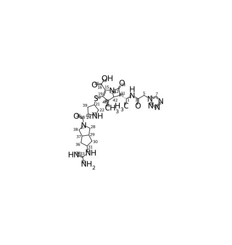 CC(NC(=O)Cn1cnnn1)[C@H]1C(=O)N2C(C(=O)O)=C(SC3CN[C@H](C(=O)N4CC5CC(NC(=N)N)CC5C4)C3)[C@H](C)C12